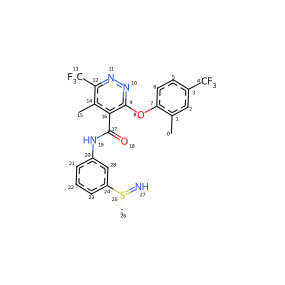 Cc1cc(C(F)(F)F)ccc1Oc1nnc(C(F)(F)F)c(C)c1C(=O)Nc1cccc([S@@](C)=N)c1